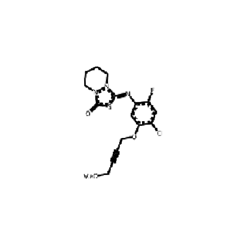 COCC#CCOc1cc(N=c2sc(=O)n3n2CCCC3)c(F)cc1Cl